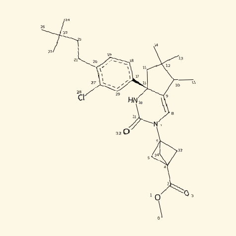 COC(=O)C12CC(N3C=C4C(C)C(C)(C)C[C@@]4(c4ccc(CCC(C)(C)C)c(Cl)c4)NC3=O)(C1)C2